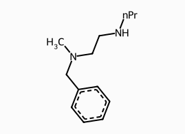 CCCNCCN(C)Cc1ccccc1